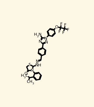 CC(C)c1ccccc1N1C(=O)CSC1N/N=C/c1ccc(-c2nc(N)n(-c3ccc(OC(F)(F)C(F)(F)F)cc3)n2)cc1